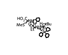 CC[C@@H](NC[C@H](CSC(c1ccccc1)(c1ccccc1)c1ccccc1)NC(=O)OC(C)(C)C)C(=O)N1Cc2ccccc2C[C@H]1C(=O)N[C@@H](CCSC)C(=O)O